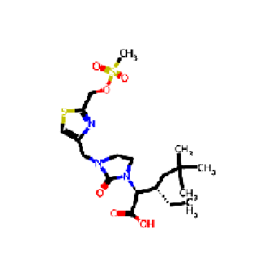 CC[C@@H](CC(C)(C)C)[C@@H](C(=O)O)N1CCN(Cc2csc(COS(C)(=O)=O)n2)C1=O